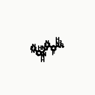 CN(C)CC(N)c1cc(F)cc(-c2cncc3[nH]c(-c4n[nH]c5ccc(-c6cnccn6)cc45)cc23)c1